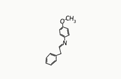 COc1ccc(N=CCc2ccccc2)cc1